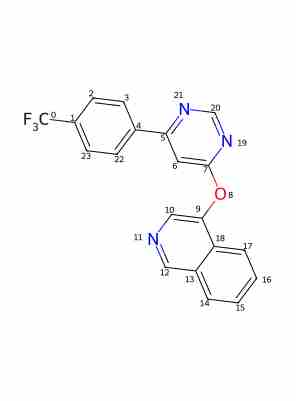 FC(F)(F)c1ccc(-c2cc(Oc3cncc4ccccc34)ncn2)cc1